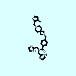 Cc1ccsc1CN1CCC2(CC1)CN(Cc1ccc(C(=O)N(Cc3ncc[nH]3)Cc3ncc[nH]3)cc1)C2